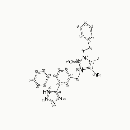 CCCc1c(C)n(CCc2ccccc2)c(=O)n1Cc1ccc(-c2ccccc2)c(-c2nnn[nH]2)c1